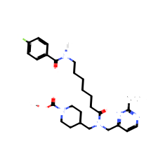 CNc1nccc(CN(CC2CCN(C(=O)OC(C)(C)C)CC2)C(=O)CCCCCCN(C(=O)c2ccc(F)cc2)C(C)C)n1